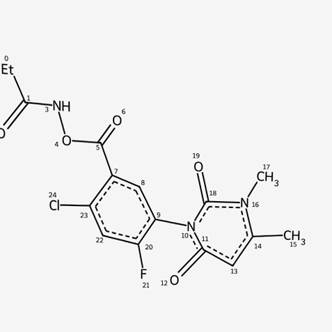 CCC(=O)NOC(=O)c1cc(-n2c(=O)cc(C)n(C)c2=O)c(F)cc1Cl